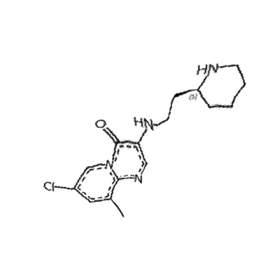 Cc1cc(Cl)cn2c(=O)c(NCC[C@@H]3CCCCN3)cnc12